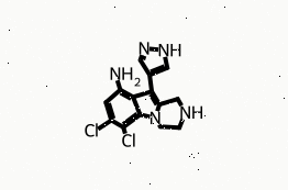 Nc1cc(Cl)c(Cl)c2c1c(-c1cn[nH]c1)c1n2CCNC1